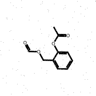 CC(=O)Oc1ccccc1CO[C]=O